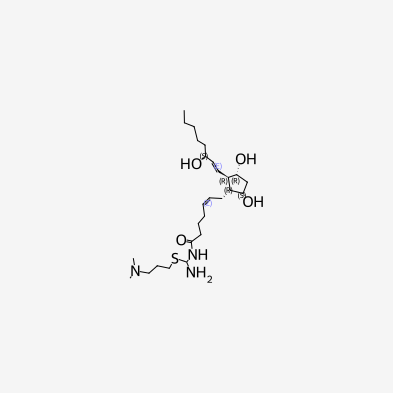 CCCCC[C@H](O)/C=C/[C@@H]1[C@@H](C/C=C\CCCC(=O)NC(N)SCCCN(C)C)[C@@H](O)C[C@H]1O